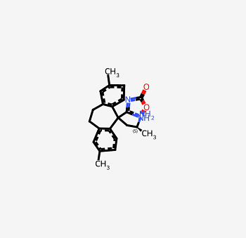 Cc1ccc2c(c1)CCc1cc(C)ccc1C2(C[C@H](C)N)c1nc(=O)o[nH]1